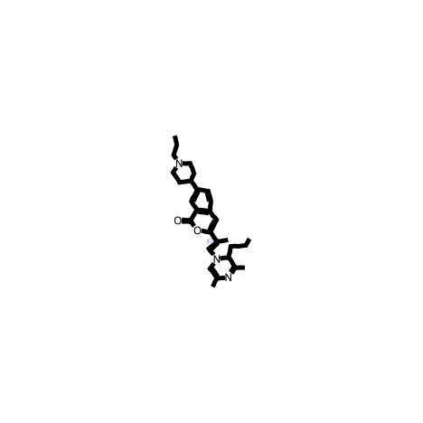 CCCC1C(C)=NC(C)=CN1/C=C(\C)c1cc2ccc(C3CCN(CCC)CC3)cc2c(=O)o1